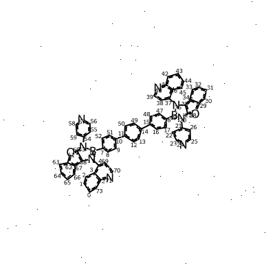 c1ccc2c(N3B(c4ccc(-c5ccc(-c6ccc(B7N(c8ccncc8)c8oc9ccccc9c8N7c7ccnc8ccccc78)cc6)cc5)cc4)N(c4ccncc4)c4oc5ccccc5c43)ccnc2c1